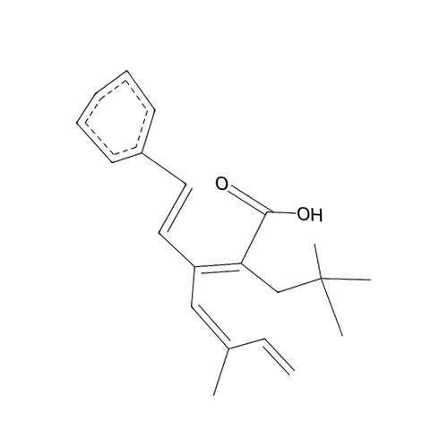 C=CC(C)=CC(C=Cc1ccccc1)=C(CC(C)(C)C)C(=O)O